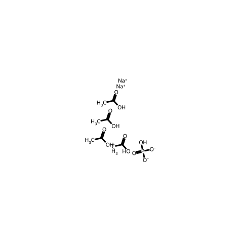 CC(=O)O.CC(=O)O.CC(=O)O.CC(=O)O.O=P([O-])([O-])O.[Na+].[Na+]